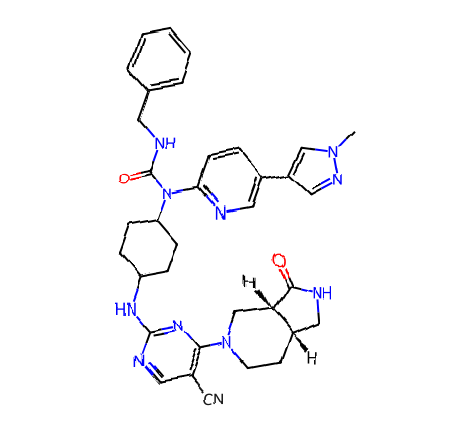 Cn1cc(-c2ccc(N(C(=O)NCc3ccccc3)C3CCC(Nc4ncc(C#N)c(N5CC[C@H]6CNC(=O)[C@H]6C5)n4)CC3)nc2)cn1